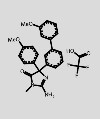 COc1ccc(C2(c3cccc(-c4cccc(OC)c4)c3)N=C(N)N(C)C2=O)cc1.O=C(O)C(F)(F)F